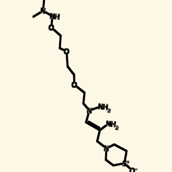 CN(C)NOCCOCCOCCN(N)/C=C(\N)CN1CC[S+]([O-])CC1